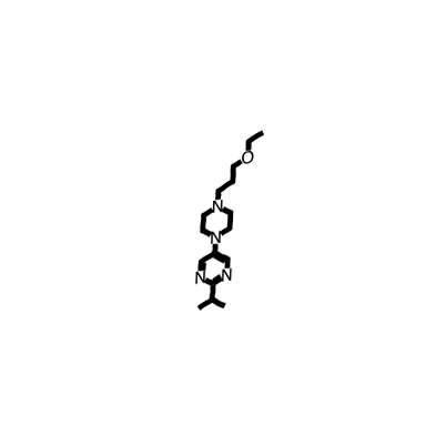 CCOCCCN1CCN(c2cnc(C(C)C)nc2)CC1